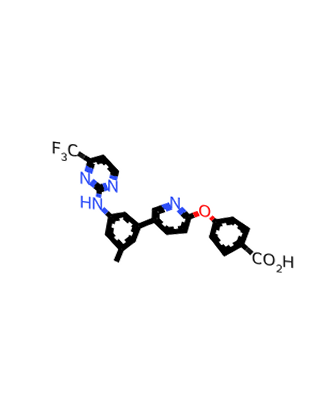 Cc1cc(Nc2nccc(C(F)(F)F)n2)cc(-c2ccc(Oc3ccc(C(=O)O)cc3)nc2)c1